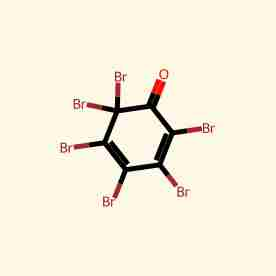 O=C1C(Br)=C(Br)C(Br)=C(Br)C1(Br)Br